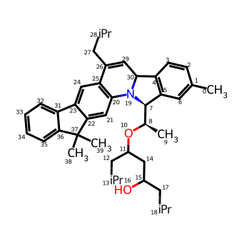 Cc1ccc2c(c1)[C@@H]([C@@H](C)OC(CC(C)C)CC(O)CC(C)C)N1c3cc4c(cc3C(CC(C)C)=CC21)-c1ccccc1C4(C)C